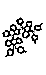 Cc1ccc(N(c2ccc(C)cc2)c2c3ccccc3c(N(c3ccccc3)c3ccc(N(c4ccccc4)c4c5ccccc5c(N(c5ccc(C)cc5)c5ccc(C)cc5)c5ccccc45)c4ccccc34)c3ccccc23)cc1